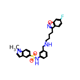 Cn1ccc2cc(S(=O)(=O)Nc3cccc(CNCCCCc4noc5cc(F)ccc45)c3)ccc21